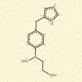 CCCCCCCCCCCCN(C=O)c1ccc(Cc2cnc[nH]2)cc1